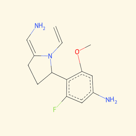 C=CN1/C(=C\N)CCC1c1c(F)cc(N)cc1OC